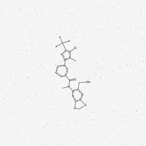 Cc1c(Cl)c(C(F)(F)F)nn1-c1cccc(C(=O)N(C)c2cc3c(cc2CO)OCO3)c1